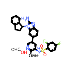 COc1ncc(-c2ccc3nc(N)n(C4CCc5ccccc54)c3c2)cc1NS(=O)(=O)c1ccc(F)cc1F.O=CO